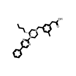 CCCC[C@@H]1CN(Cc2cc(C)cc(CC(=O)O)c2)CCN1c1ncc(-c2ccccc2)cn1